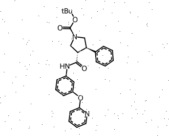 CC(C)(C)OC(=O)N1C[C@@H](C(=O)Nc2cccc(Oc3ccccn3)c2)[C@H](c2ccccc2)C1